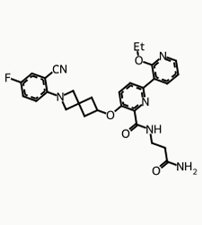 CCOc1ncccc1-c1ccc(OC2CC3(C2)CN(c2ccc(F)cc2C#N)C3)c(C(=O)NCCC(N)=O)n1